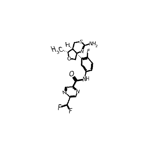 C[C@H]1OC[C@]2(c3cc(NC(=O)c4cnc(C(F)F)cn4)ccc3F)N=C(N)SC[C@H]12